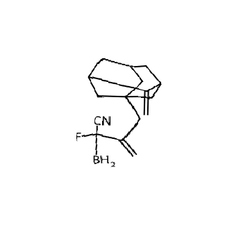 BC(F)(C#N)C(=C)CC12CC3CC(C1)C(=C)C(C3)C2